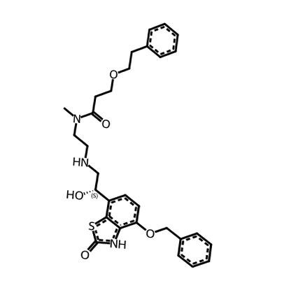 CN(CCNC[C@@H](O)c1ccc(OCc2ccccc2)c2[nH]c(=O)sc12)C(=O)CCOCCc1ccccc1